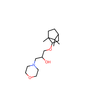 CC1(C)C2CCC1(C)C(OCC(O)CN1CCOCC1)C2